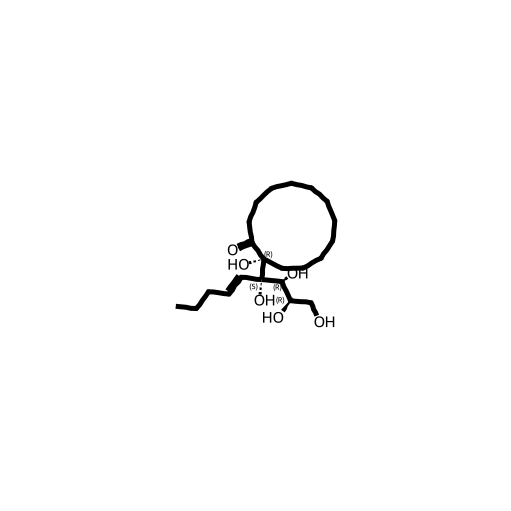 CCCC=C[C@](O)([C@H](O)[C@H](O)CO)[C@]1(O)CCCCCCCCCCCC1=O